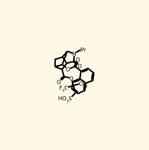 CC(C)N1C(=O)C2C3CC(C(OC(=O)c4cccc5ccccc45)C31)C2C(=O)OC(CS(=O)(=O)O)(C(F)(F)F)C(F)(F)F